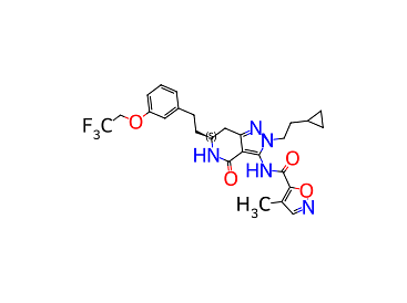 Cc1cnoc1C(=O)Nc1c2c(nn1CCC1CC1)C[C@H](CCc1cccc(OCC(F)(F)F)c1)NC2=O